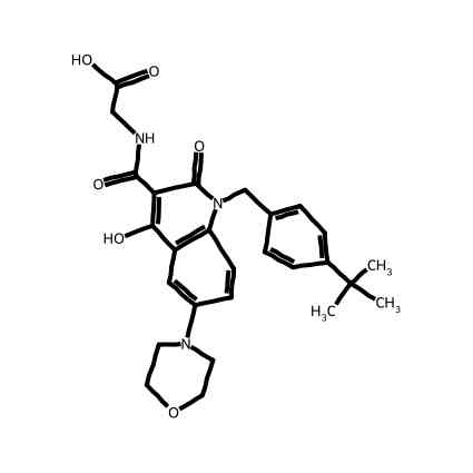 CC(C)(C)c1ccc(Cn2c(=O)c(C(=O)NCC(=O)O)c(O)c3cc(N4CCOCC4)ccc32)cc1